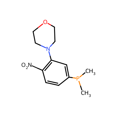 CP(C)c1ccc([N+](=O)[O-])c(N2CCOCC2)c1